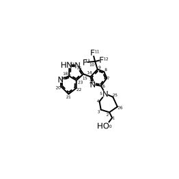 OCC1CCN(c2ccc(C(F)(F)F)c(-c3n[nH]c4ncccc34)n2)CC1